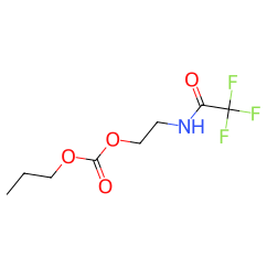 CCCOC(=O)OCCNC(=O)C(F)(F)F